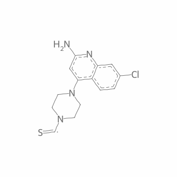 Nc1cc(N2CCN([C]=S)CC2)c2ccc(Cl)cc2n1